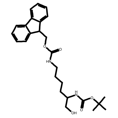 CC(C)(C)OC(=O)NC(CO)CCCCNC(=O)OCC1c2ccccc2-c2ccccc21